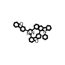 c1ccc(-c2cc(-c3ccc4c(c3)oc3ccccc34)nc(-c3cccc4oc5ccc(-c6cccc7c8ccccc8n(-c8ccccc8)c67)cc5c34)n2)cc1